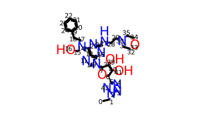 CCn1nnc([C@H]2O[C@@H](n3cnc4c(N(CO)CCc5ccccc5)nc(NCCN5CCOCC5)nc43)[C@H](O)[C@@H]2O)n1